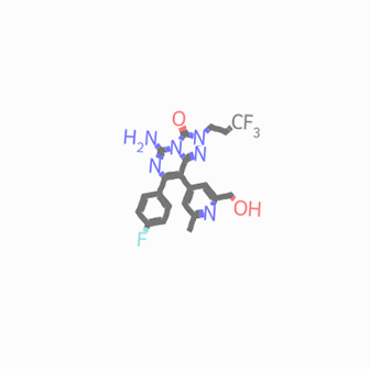 Cc1cc(-c2c(-c3ccc(F)cc3)nc(N)n3c(=O)n(CCC(F)(F)F)nc23)cc(CO)n1